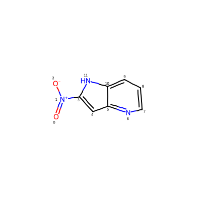 O=[N+]([O-])c1cc2ncccc2[nH]1